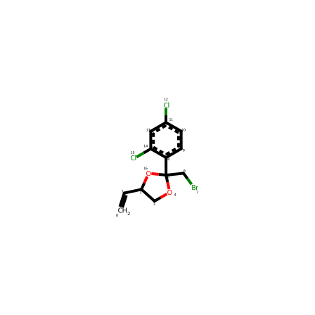 C=CC1COC(CBr)(c2ccc(Cl)cc2Cl)O1